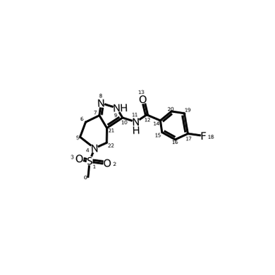 CS(=O)(=O)N1CCc2n[nH]c(NC(=O)c3ccc(F)cc3)c2C1